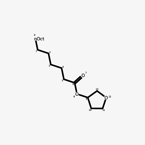 CCCCCCCCCCCCCC(=O)OC1CCOC1